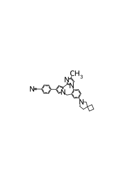 Cc1cn2c(n1)-c1cc(-c3ccc(C#N)cc3)cn1Cc1cc(N3CCC4(CCC4)C3)ccc1-2